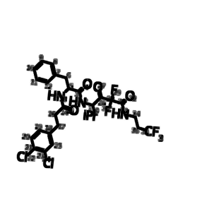 CC(C)C(NC(=O)C(Cc1ccccc1)NC(=O)CCc1ccc(Cl)c(Cl)c1)C(=O)C(F)(F)C(=O)NCCC(F)(F)F